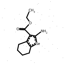 CCOC(=O)c1c(N)[se]c2c1CCCC2